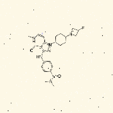 CN/C=C\c1c(C=O)c(Nc2ccc([S+]([O-])N(C)C)cc2)nn1C1CCC(N2CC(F)C2)CC1